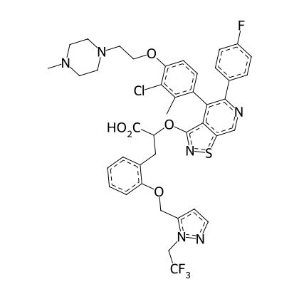 Cc1c(-c2c(-c3ccc(F)cc3)ncc3snc(OC(Cc4ccccc4OCc4ccnn4CC(F)(F)F)C(=O)O)c23)ccc(OCCN2CCN(C)CC2)c1Cl